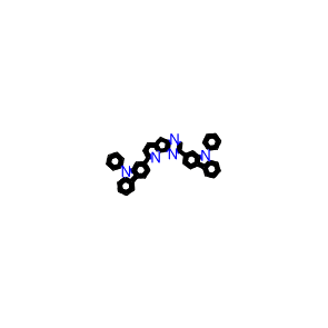 c1ccc(-n2c3ccccc3c3ccc(-c4ccc5c(n4)-c4nc(-c6ccc7c8ccccc8n(-c8ccccc8)c7c6)cnc4C5)cc32)cc1